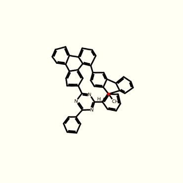 CC1(C)c2ccccc2-c2cc(-c3cccc4c5ccccc5c5ccc(-c6nc(-c7ccccc7)nc(-c7ccccc7)n6)cc5c34)ccc21